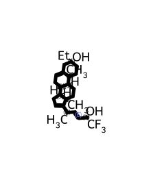 CC[C@]1(O)CC[C@@]2(C)C(=CC[C@@H]3[C@@H]2CC[C@]2(C)C([C@H](C)/C=C/[C@@H](O)C(F)(F)F)=CC[C@@H]32)C1